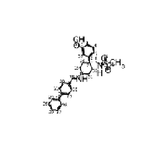 COc1cccc([C@]2(CNS(C)(=O)=O)CC[C@@H](NCc3ccc(-c4ccccc4)cc3)CC2)c1